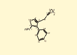 C=CCc1csc(CCC)c1-c1ccccc1